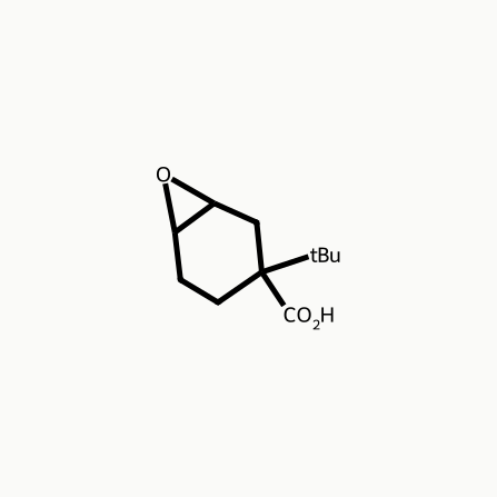 CC(C)(C)C1(C(=O)O)CCC2OC2C1